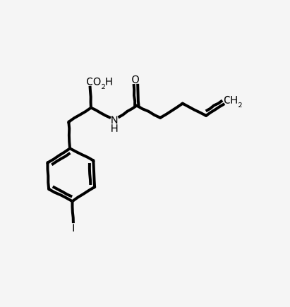 C=CCCC(=O)NC(Cc1ccc(I)cc1)C(=O)O